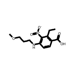 CCc1c(C(=O)O)ccc(NCCCOC)c1[N+](=O)[O-]